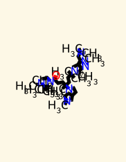 C[C@H]1c2nn(C)c(CN(C)C)c2CN1C(C)(C)CCC(C)(CCC(=O)N1CCN(C(C)(C)C)C(C)(C)C1)N1CCC2CN(C)CC21C